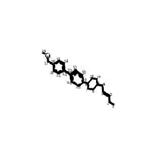 CCC=CCC1CCC(c2ccc(-c3ccc(COC)cc3)cc2)CC1